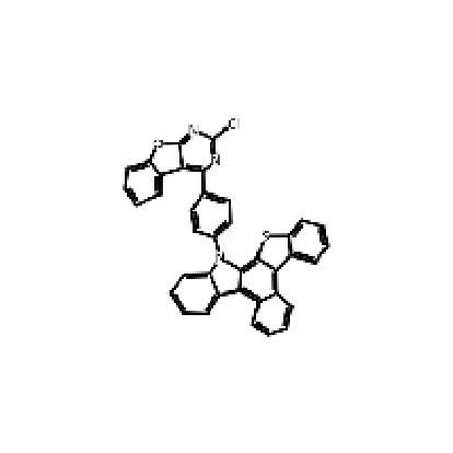 Clc1nc(-c2ccc(-n3c4ccccc4c4c5ccccc5c5c6ccccc6sc5c43)cc2)c2c(n1)oc1ccccc12